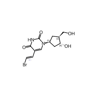 O=c1[nH]c(=O)n([C@H]2C[C@@H](CO)[C@H](O)C2)cc1/C=C/Br